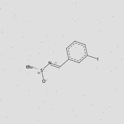 CC(C)(C)[S@@+]([O-])/N=C/c1cccc(I)c1